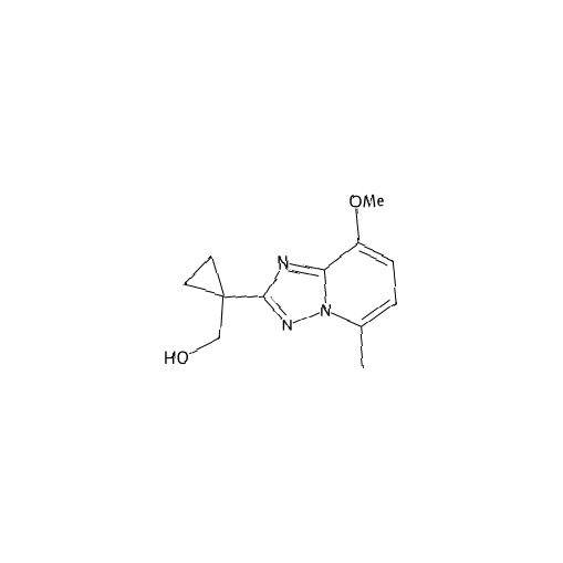 COc1ccc(C)n2nc(C3(CO)CC3)nc12